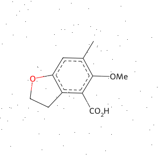 COc1c(C)cc2c(c1C(=O)O)CCO2